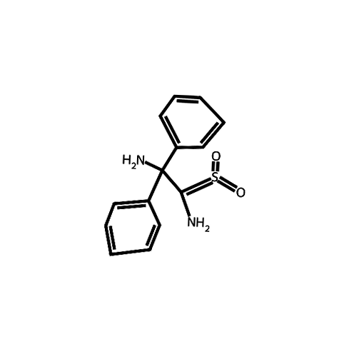 NC(=S(=O)=O)C(N)(c1ccccc1)c1ccccc1